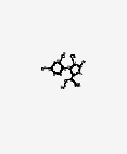 CCOC(=N)c1sc(Br)c(C#N)c1-c1ccc(Cl)cc1Cl